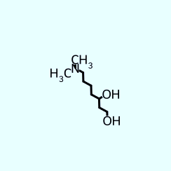 CN(C)CCCCC(O)CCO